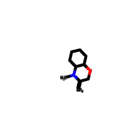 C=C1COC2CCCCC2N1C